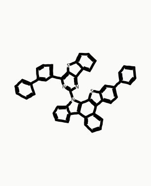 c1ccc(-c2cccc(-c3nc(-n4c5ccccc5c5c6ccccc6c6c7ccc(-c8ccccc8)cc7sc6c54)nc4c3sc3ccccc34)c2)cc1